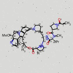 C=CC(=O)N1CC[C@H](C(=O)N(C)[C@H](C(=O)N[C@H]2C[C@@H]3CCCN(C3)c3ccc4c(c3)c(c(-c3cccnc3[C@H](C)OC)n4CC)CC(C)(C)COC(=O)[C@@H]3CCCN(C2)N3)C(C)C)C1